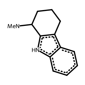 CNC1CCCc2c1[nH]c1ccccc21